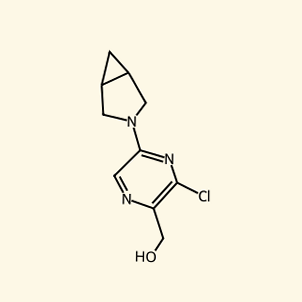 OCc1ncc(N2CC3CC3C2)nc1Cl